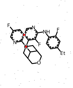 CCc1ccc(Nc2ncnc(OC3C4COCC3CN(c3ncc(F)cn3)C4)c2F)c(F)c1